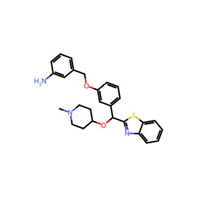 CN1CCC(OC(c2cccc(OCc3cccc(N)c3)c2)c2nc3ccccc3s2)CC1